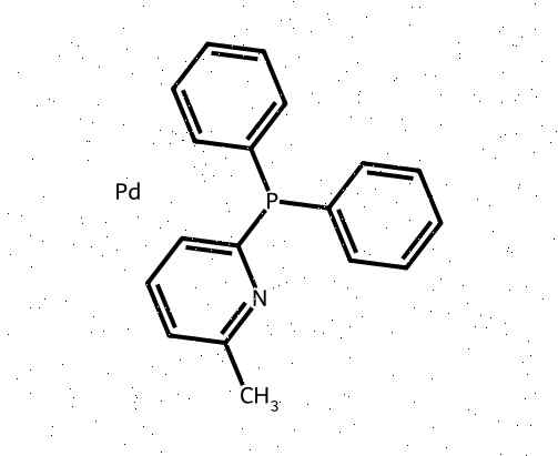 Cc1cccc(P(c2ccccc2)c2ccccc2)n1.[Pd]